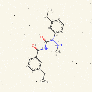 CCc1cccc(C(=O)NC(=O)N(NC)c2cccc(CC)c2)c1